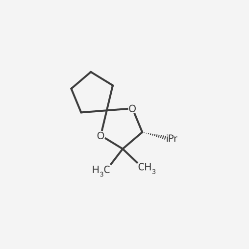 CC(C)[C@H]1OC2(CCCC2)OC1(C)C